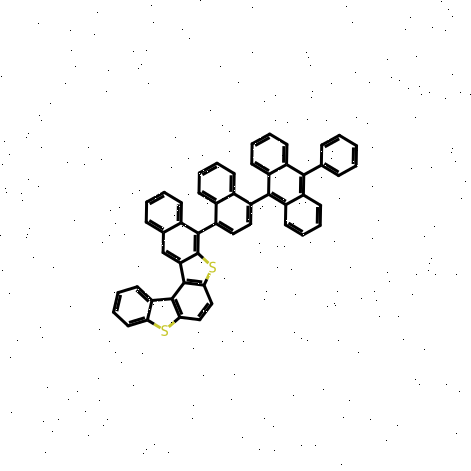 c1ccc(-c2c3ccccc3c(-c3ccc(-c4c5ccccc5cc5c4sc4ccc6sc7ccccc7c6c45)c4ccccc34)c3ccccc23)cc1